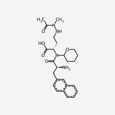 CC(=O)N(C)NCC[C@@H](C(=O)O)N(C(=O)[C@@H](N)Cc1ccc2ccccc2c1)C1CCCCO1